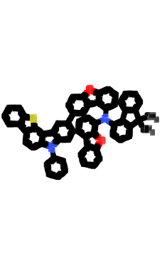 CC1(C)c2ccccc2-c2c(N(c3cccc4c3oc3ccccc34)c3cccc4oc5ccc(-c6ccc7c(c6)c6c8sc9ccccc9c8ccc6n7-c6ccccc6)cc5c34)cccc21